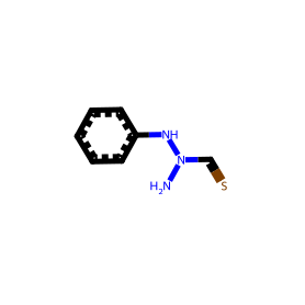 NN(C=S)Nc1ccccc1